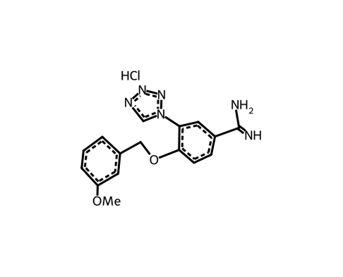 COc1cccc(COc2ccc(C(=N)N)cc2-n2cnnn2)c1.Cl